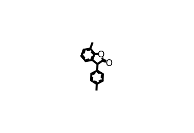 Cc1ccc(C2C(=O)Oc3c(C)cccc32)cc1